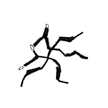 CC=CC1(C=CC)C(=O)OC(=O)C1(C=CC)C=CC